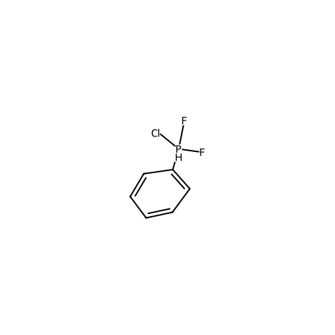 F[PH](F)(Cl)c1ccccc1